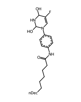 CCCCCCCCCCCCCCCC(=O)Nc1ccc(N2C=C(F)C(O)NC2O)cc1